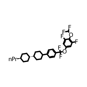 CCC[C@H]1CC[C@H](C2CCC(c3ccc(C(F)(F)Oc4cc(F)c(OC(F)F)c(F)c4)cc3)CC2)CC1